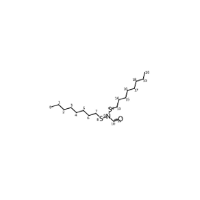 CCCCCCCCSN(C=O)SCCCCCCCC